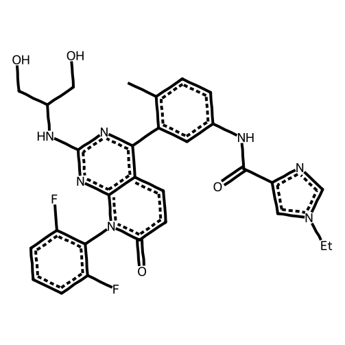 CCn1cnc(C(=O)Nc2ccc(C)c(-c3nc(NC(CO)CO)nc4c3ccc(=O)n4-c3c(F)cccc3F)c2)c1